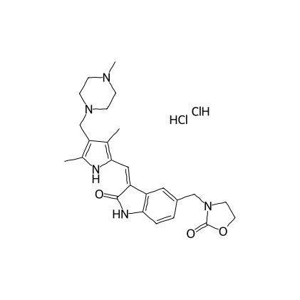 Cc1[nH]c(C=C2C(=O)Nc3ccc(CN4CCOC4=O)cc32)c(C)c1CN1CCN(C)CC1.Cl.Cl